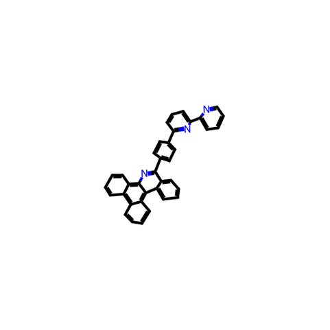 c1ccc(-c2cccc(-c3ccc(-c4nc5c6ccccc6c6ccccc6c5c5ccccc45)cc3)n2)nc1